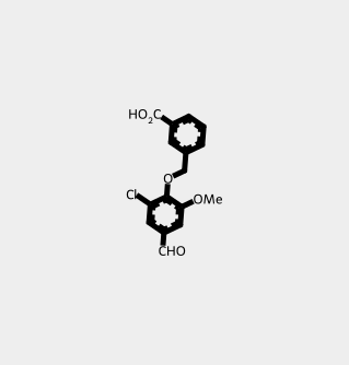 COc1cc(C=O)cc(Cl)c1OCc1cccc(C(=O)O)c1